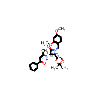 COc1ccc(CN2C(=O)[C@@H](N/C(C)=C\C(=O)c3ccccc3)[C@H]2[C@@H]2COC(C)(C)O2)c(OC)c1